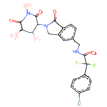 BC1C(=O)N(B)C(=O)C(N2Cc3cc(CNC(=O)C(F)(F)c4ccc(Cl)cc4)ccc3C2=O)C1B